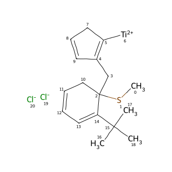 CSC1(CC2=[C]([Ti+2])CC=C2)CC=CC=C1C(C)(C)C.[Cl-].[Cl-]